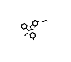 O=CC[C@@H](c1ccccc1)[C@]1(c2ccc(Cl)cc2)Oc2cc(OCCCl)ccc2C1=O